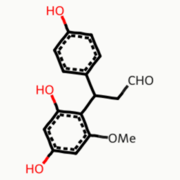 COc1cc(O)cc(O)c1C(CC=O)c1ccc(O)cc1